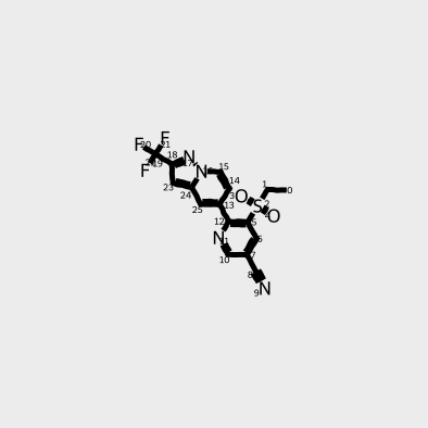 CCS(=O)(=O)c1cc(C#N)cnc1-c1ccn2nc(C(F)(F)F)cc2c1